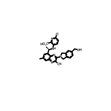 Cc1cc([C@@H](C)Nc2ccc(Cl)nc2C(=O)O)c2nc(N3Cc4ccc(CO)cc4C3)c(C#N)nc2c1